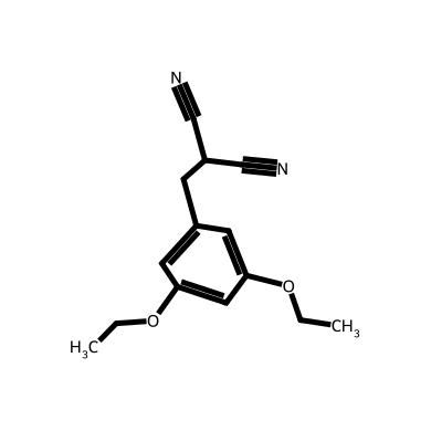 CCOc1cc(CC(C#N)C#N)cc(OCC)c1